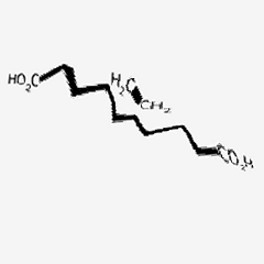 C=C.O=C(O)CCCCCCCCC(=O)O